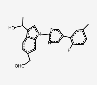 Cc1ccc(F)c(-c2cnc(-n3cc(C(C)O)c4ccc(CC=O)cc43)nc2)c1